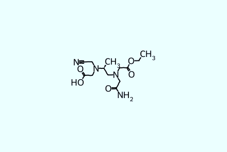 CCOC(=O)CN(CC(N)=O)C[C@H](C)N(CC#N)CC(=O)O